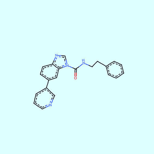 O=C(NCCc1ccccc1)n1cnc2ccc(-c3cccnc3)cc21